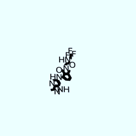 Cc1n[nH]c2cc(Nc3cccc4c3C(=O)N(CC(=O)NCC(F)(F)F)C4)cnc12